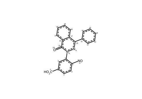 O=Nc1ccc(C(=O)O)cc1-n1nc(-c2ccccc2)c2ccccc2c1=O